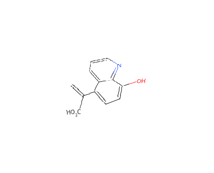 C=C(C(=O)O)c1ccc(O)c2ncccc12